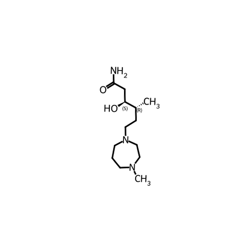 C[C@H](CCN1CCCN(C)CC1)[C@@H](O)CC(N)=O